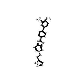 Cc1ccc(-c2ccc(-c3nc4ccn(CCc5ccn[nH]5)cc-4n3)cc2)cc1C